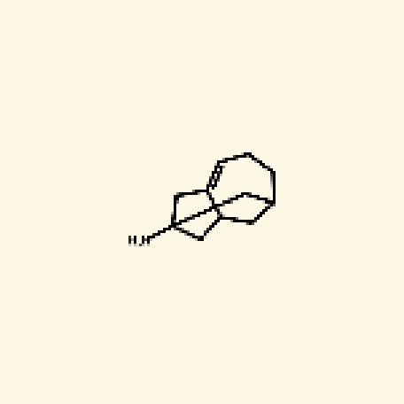 NC12CC3=CCCC(CC3C1)C2